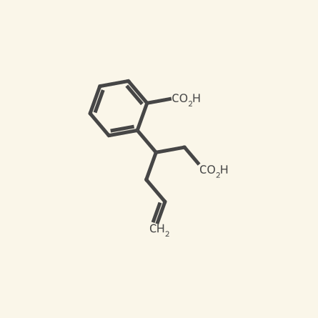 C=CCC(CC(=O)O)c1ccccc1C(=O)O